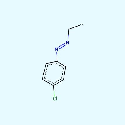 [CH2]CN=Nc1ccc(Cl)cc1